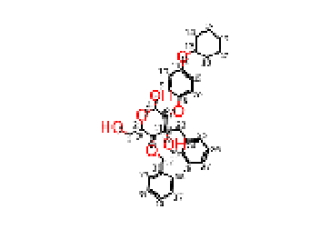 OC[C@H]1OC(O)[C@H](Oc2ccc(OC3CCCCC3)cc2)[C@](O)(Cc2ccccc2)[C@@H]1OCc1ccccc1